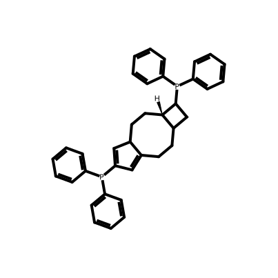 C1=C2CCC3CC(P(c4ccccc4)c4ccccc4)[C@H]3CCC2C=C1P(c1ccccc1)c1ccccc1